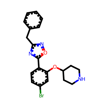 Brc1ccc(-c2nc(Cc3ccccc3)no2)c(OC2CCNCC2)c1